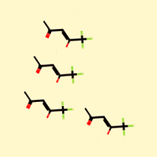 CC(=O)/C=C(\O)C(F)(F)F.CC(=O)/C=C(\O)C(F)(F)F.CC(=O)/C=C(\O)C(F)(F)F.CC(=O)/C=C(\O)C(F)(F)F.[Zr]